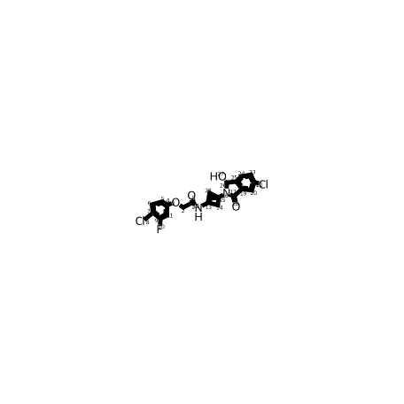 O=C(COc1ccc(Cl)c(F)c1)NC12CC(N3C(=O)c4cc(Cl)ccc4[C@@H]3O)(C1)C2